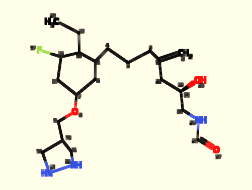 C=C(CCCC1CC(OCC2CNNC2)CC(F)C1CC)C[C@@H](O)CNC=O